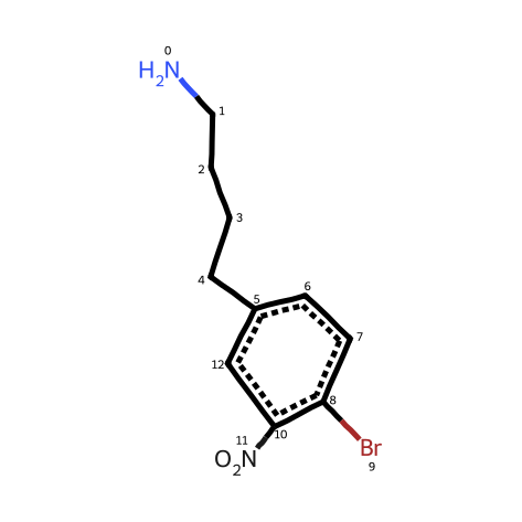 NCCCCc1ccc(Br)c([N+](=O)[O-])c1